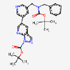 CC(C)(C)OC(=O)N(Cc1ccccc1)Cc1cncc(-c2cnc3c(cnn3C(=O)OC(C)(C)C)c2)c1